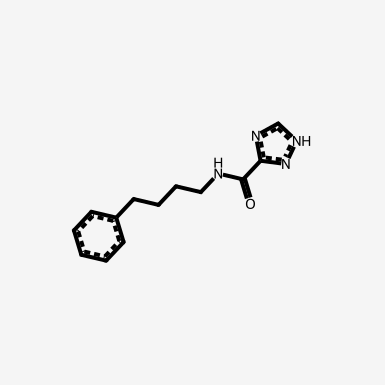 O=C(NCCCCc1ccccc1)c1nc[nH]n1